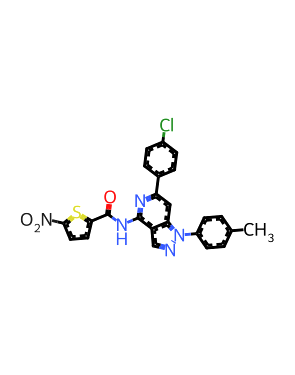 Cc1ccc(-n2ncc3c(NC(=O)c4ccc([N+](=O)[O-])s4)nc(-c4ccc(Cl)cc4)cc32)cc1